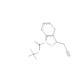 CC(C)(C)OC(=O)n1nc(CC#N)c2ccccc21